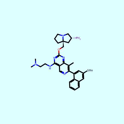 CSc1cc(-c2ncc3c(NCCN(C)C)nc(OC[C@@]45CCCN4C[C@H](P)C5)nc3c2C)c2ccccc2c1